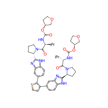 CC(C)[C@H](NC(=O)O[C@H]1CCOC1)C(=O)N1CCC[C@H]1c1nc2cc(-c3ccsc3-c3ccc4[nH]c([C@@H]5CCCN5C(=O)[C@@H](NC(=O)O[C@H]5CCOC5)C(C)C)nc4c3)ccc2[nH]1